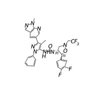 Cc1c(-c2cnc3c(cnn3C)c2)nn(-c2ccccc2)c1NC(=O)N[C@@H]1CN(CC(F)(F)F)O[C@H]1c1ccc(F)c(F)c1